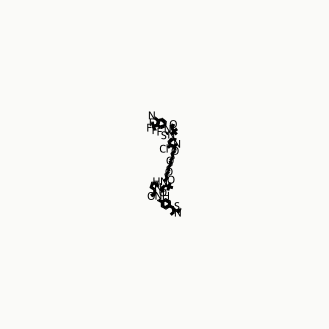 Cc1ncsc1-c1ccc(CNC(=O)C2CCCN2C(=O)C(NC(=O)COCCOCCOc2ncc(N3C(=S)N(c4ccc(C#N)c(C(F)(F)F)c4F)C(=O)C3(C)C)cc2Cl)C(C)(C)C)cc1